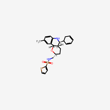 O=S(=O)(NC[C@H]1CC[C@@H]2[C@H](O1)c1cc(C(F)(F)F)ccc1N[C@H]2C1C=CC=CC1)c1cccs1